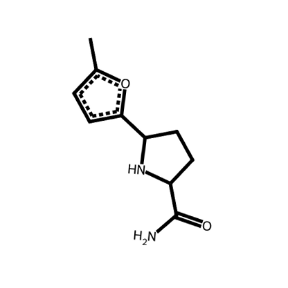 Cc1ccc(C2CCC(C(N)=O)N2)o1